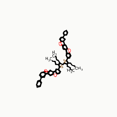 CCCCc1c(-c2ccc3oc4cc5c(cc4c3c2)oc2ccc(-c3ccccc3)cc25)sc(-c2sc(-c3ccc4oc5cc6c(cc5c4c3)oc3ccc(-c4ccccc4)cc36)c(CCCC)c2CCCC)c1CCCC